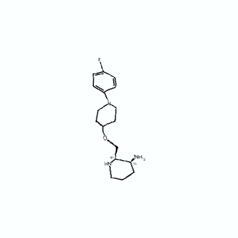 N[C@H]1CCCN[C@H]1COC1CCN(c2ccc(F)cc2)CC1